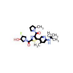 Cc1cc(NC(C)(C)C)ncc1-c1sc(C(=O)N2C[C@@H](O)[C@H](F)C2)nc1C(=O)N1CCC[C@@H]1C